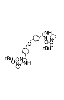 CC(C)(C)OC(=O)N1CCC[C@H]1C1=NC(c2ccc(COCc3ccc(-c4c[nH]c([C@@H]5CCCN5C(=O)OC(C)(C)C)n4)cc3)cc2)CN1